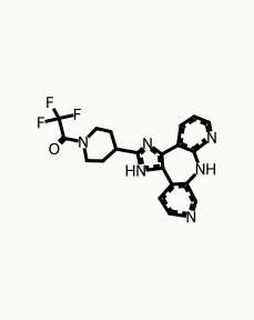 O=C(N1CCC(c2nc3c([nH]2)-c2ccncc2Nc2ncccc2-3)CC1)C(F)(F)F